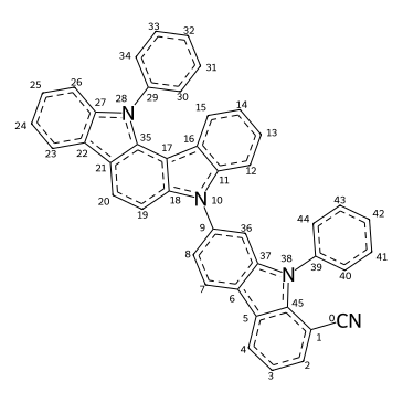 N#Cc1cccc2c3ccc(-n4c5ccccc5c5c4ccc4c6ccccc6n(-c6ccccc6)c45)cc3n(-c3ccccc3)c12